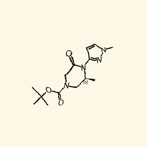 C[C@H]1CN(C(=O)OC(C)(C)C)CC(=O)N1c1ccn(C)n1